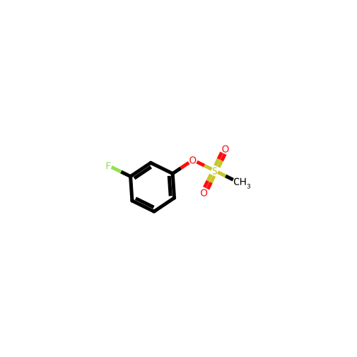 CS(=O)(=O)Oc1cccc(F)c1